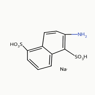 Nc1ccc2c(S(=O)(=O)O)cccc2c1S(=O)(=O)O.[Na]